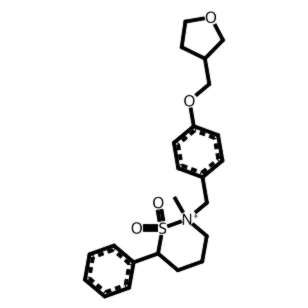 C[N+]1(Cc2ccc(OCC3CCOC3)cc2)CCCC(c2ccccc2)S1(=O)=O